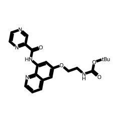 CC(C)(C)OC(=O)NCCOc1cc(NC(=O)c2cnccn2)c2ncccc2c1